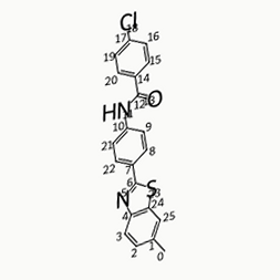 Cc1ccc2nc(-c3ccc(NC(=O)c4ccc(Cl)cc4)cc3)sc2c1